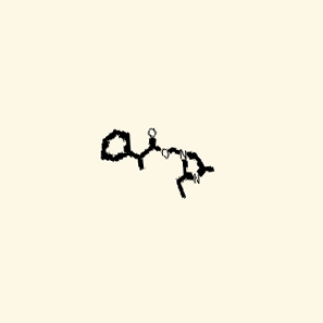 CCc1nc(C)cn1COC(=O)C(C)c1ccccc1